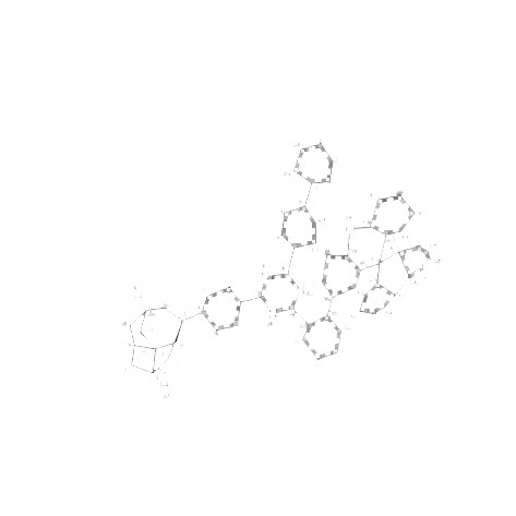 c1ccc(-c2ccc(-c3nc(-c4ccc(C56C[C@@H]7CC8C[C@@H](C5)[C@@]8(C7)C6)cc4)nc(-c4ccccc4-c4ccc5c(c4)C4(c6ccccc6O5)c5ccccc5-c5ccccc54)n3)cc2)cc1